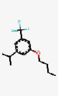 CCCCOc1cc([C](C)C)cc(C(F)(F)F)c1